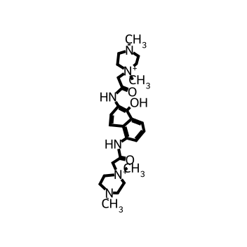 CN1CC[N+](C)(CC(=O)Nc2ccc3c(NC(=O)C[N+]4(C)CCN(C)CC4)cccc3c2O)CC1